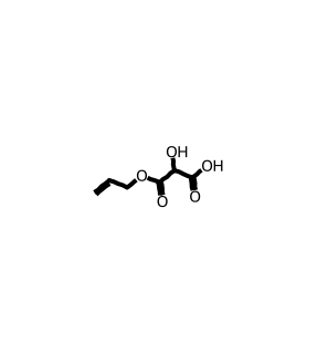 C=CCOC(=O)C(O)C(=O)O